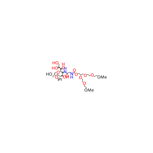 COCCOCCOCC(COC(=O)NCC(=O)N[C@H]1C([C@H](O)[C@H](O)CO)OC(OC(C)C)(C(=O)O)C[C@H]1O)OCCOCCOC